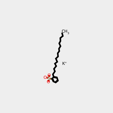 CCCCCCCCCCCCCCCCCCc1ccccc1S(=O)(=O)[O-].[K+]